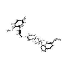 COc1ccc2nccc([C@@H](F)CC[C@@H]3CCN(CC#Cc4cc(Cl)ccc4OC)C[C@@H]3C(=O)O)c2c1